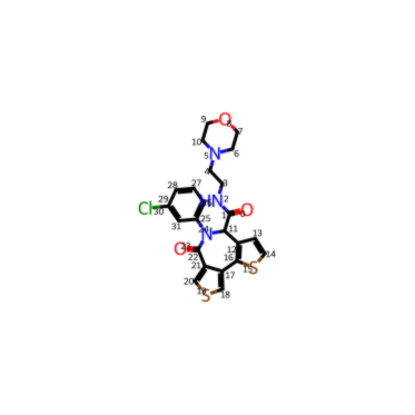 O=C(NCCN1CCOCC1)C1c2ccsc2-c2cscc2C(=O)N1c1cccc(Cl)c1